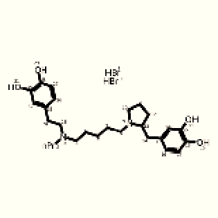 Br.Br.CCCN(CCCCCN1CCCC1Cc1ccc(O)c(O)c1)CCc1ccc(O)c(O)c1